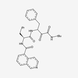 CC(C)C[C@H](NC(=O)c1cccc2cnccc12)C(=O)NC(Cc1ccccc1)C(=O)C(=O)NC(C)(C)C